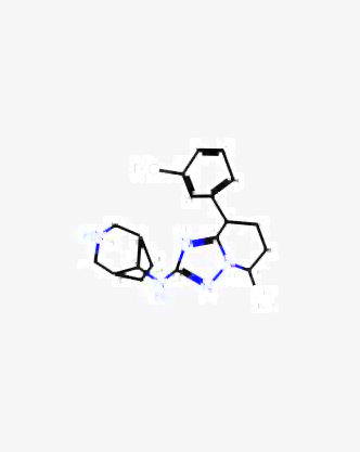 FC(F)(F)c1cccc(C2CCC(C(F)(F)F)n3nc(NC4C5CCC4CNC5)nc32)c1